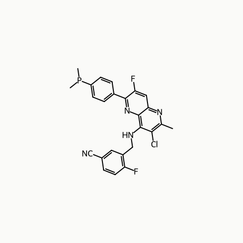 Cc1nc2cc(F)c(-c3ccc(P(C)C)cc3)nc2c(NCc2cc(C#N)ccc2F)c1Cl